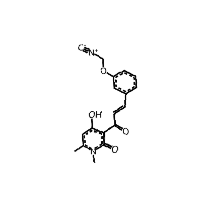 [C-]#[N+]COc1cccc(/C=C/C(=O)c2c(O)cc(C)n(C)c2=O)c1